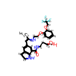 CC(Cc1cc2c(c(C(=O)NCCCO)c1)NCC2)NCCOc1ccccc1OCC(F)(F)F